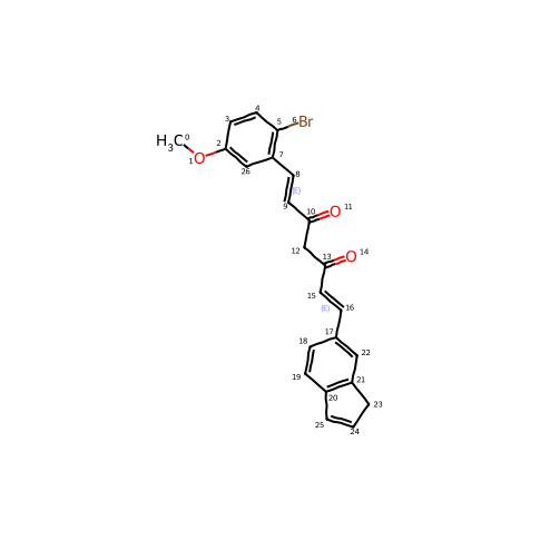 COc1ccc(Br)c(/C=C/C(=O)CC(=O)/C=C/c2ccc3c(c2)CC=C3)c1